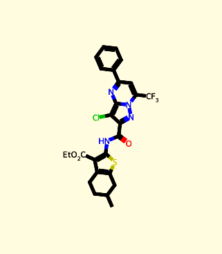 CCOC(=O)c1c(NC(=O)c2nn3c(C(F)(F)F)cc(-c4ccccc4)nc3c2Cl)sc2c1CCC(C)C2